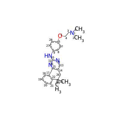 CN(C)CCOc1ccc(Nc2ncc3c(n2)-c2ccccc2C(C)(C)C3)cc1